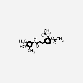 CC(=O)Oc1ccc(CCC(=O)Nc2cc(C)c(O)c(C)c2)cc1OC(C)=O